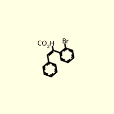 O=C(O)C(=Cc1ccccc1)c1ccccc1Br